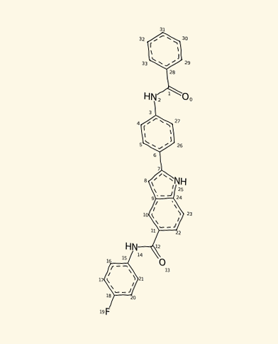 O=C(Nc1ccc(-c2cc3cc(C(=O)Nc4ccc(F)cc4)ccc3[nH]2)cc1)c1ccccc1